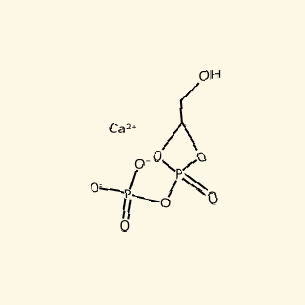 O=P([O-])([O-])OP1(=O)OC(CO)O1.[Ca+2]